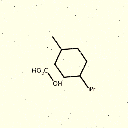 CC1CCC(C(C)C)CC1.O=C(O)O